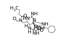 CCCC(=O)N(C=O)CC1NC(=N)N2CC(NC(=O)C3CCCCC3)C(O)(O)C23NC(=N)N[C@@H]13